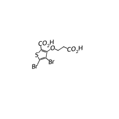 O=C(O)CCOc1c(C(=O)O)sc(Br)c1Br